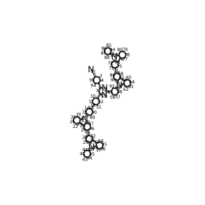 N#Cc1ccc(-c2cc(-c3ccc(-c4ccc(-n5c6ccccc6c6cc(-c7ccc8c(c7)c7ccccc7n8-c7ccccc7)ccc65)cc4)cc3)nc(-c3cccc(-n4c5ccccc5c5cc(-c6ccc7c(c6)c6ccccc6n7-c6ccccc6)ccc54)c3)n2)cc1